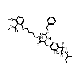 CCC(C)OP(=O)(O)C(F)(F)c1ccc(CC(NC(=O)OCc2ccccc2)C(=O)NCCCCOc2cccc(O)c2C(=O)OC)cc1